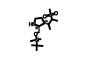 CC(C(C)S(C)(=O)=O)[C@H]1CCN[C@H]1CO[Si](C)(C)C(C)(C)C